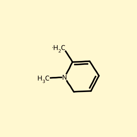 [CH2]C1=CC=CCN1C